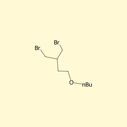 CCCCOCCC(CBr)CBr